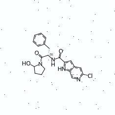 O=C(N[C@@H](Cc1ccccc1)C(=O)N1CCCC1O)c1cc2cc(Cl)ncc2[nH]1